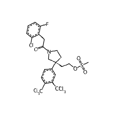 CS(=O)(=O)OCC[C@]1(c2ccc(C(Cl)(Cl)Cl)c(C(Cl)(Cl)Cl)c2)CCN(C(=O)Cc2c(F)cccc2Cl)C1